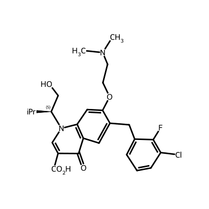 CC(C)[C@@H](CO)n1cc(C(=O)O)c(=O)c2cc(Cc3cccc(Cl)c3F)c(OCCN(C)C)cc21